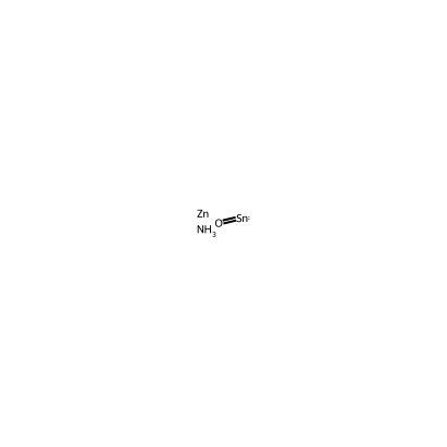 N.[O]=[Sn].[Zn]